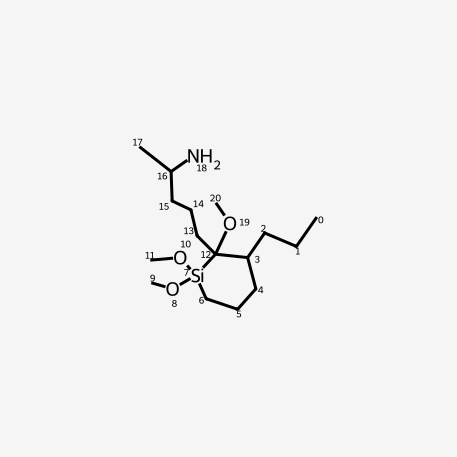 CCCC1CCC[Si](OC)(OC)C1(CCCC(C)N)OC